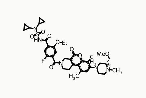 CCOc1cc(C(=O)N2CCc3c(c(=O)oc4c(C)c(N5CCN(C)[C@@H](COC)C5)cc(C)c34)C2)c(F)cc1C(=O)NS(=O)(=O)N(C1CC1)C1CC1